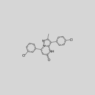 Cc1nn2c(-c3cccc(Cl)c3)cc(=O)[nH]c2c1-c1ccc(Cl)cc1